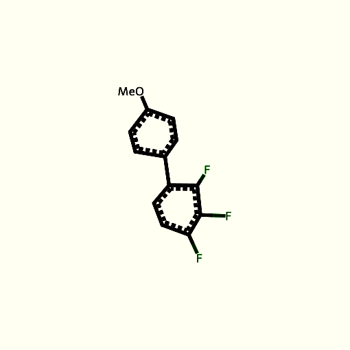 COc1ccc(-c2ccc(F)c(F)c2F)cc1